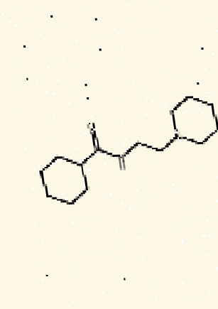 O=C(NCCN1CCCCC1)C1CCCCC1